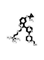 CC1(Oc2ccc3nn(COCC[Si](C)(C)C)c(-c4cc(N5CCO[C@H](CO)C5)ncn4)c3c2)CC1